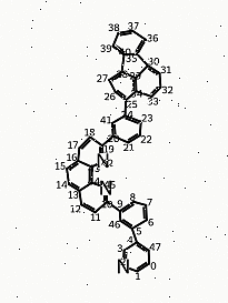 c1cncc(-c2cccc(-c3ccc4ccc5ccc(-c6cccc(-c7ccc8c9c(cccc79)-c7ccccc7-8)c6)nc5c4n3)c2)c1